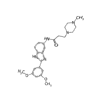 COc1cc(OC)cc(-c2nc3cc(NC(=O)CCN4CCN(C)CC4)ccc3[nH]2)c1